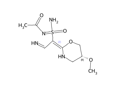 CO[C@@H]1CN/C(=C(\C=N)S(N)(=O)=NC(C)=O)OC1